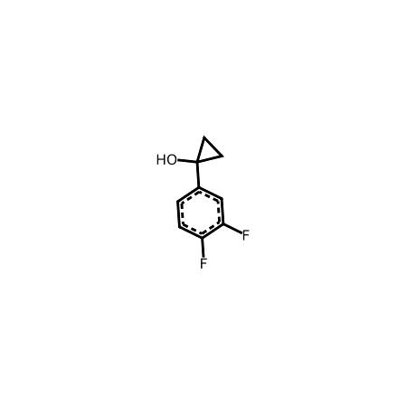 OC1(c2ccc(F)c(F)c2)CC1